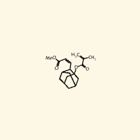 C=C(C)C(=O)OC12CC3CC(CC(C3)C1/C=C\C(=O)OC)C2